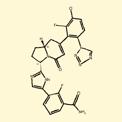 NC(=O)c1cccc(-c2cnc([C@@H]3CC[C@@H]4CC(c5c(-n6cnnn6)ccc(Cl)c5F)=CC(=O)N43)[nH]2)c1F